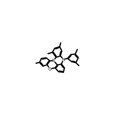 Cc1cc(C)cc(N2c3cc(C)cc(C)c3B3c4ccc(C)cc4Oc4cccc2c43)c1